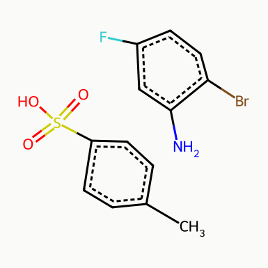 Cc1ccc(S(=O)(=O)O)cc1.Nc1cc(F)ccc1Br